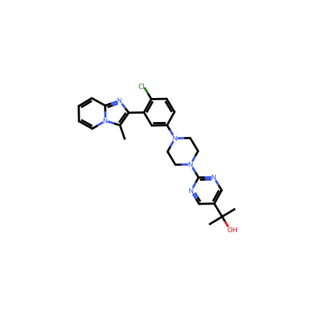 Cc1c(-c2cc(N3CCN(c4ncc(C(C)(C)O)cn4)CC3)ccc2Cl)nc2ccccn12